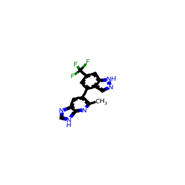 Cc1nc2[nH]cnc2cc1-c1cc(C(F)(F)F)cc2[nH]ncc12